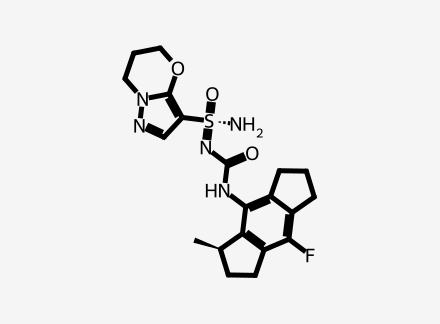 C[C@@H]1CCc2c(F)c3c(c(NC(=O)N=[S@](N)(=O)c4cnn5c4OCCC5)c21)CCC3